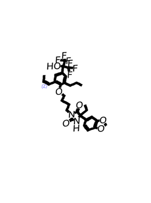 C/C=C\c1cc(C(O)(C(F)(F)F)C(F)(F)F)cc(CCC)c1OCCCCN1C(=O)NC(CC)(c2ccc3c(c2)OCO3)C1=O